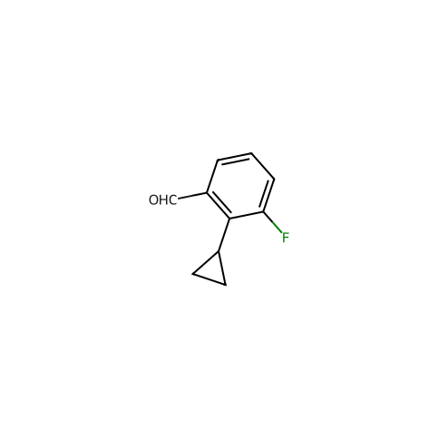 O=Cc1cccc(F)c1C1CC1